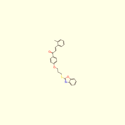 Cc1ccccc1C=CC(=O)c1ccc(OCCCSc2nc3ccccc3o2)cc1